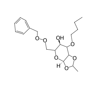 CCCCOC1C2OC(C)O[C@H]2OC(COOCc2ccccc2)[C@H]1O